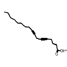 CCCCCCCCC#CCC#CCCCC(=O)O